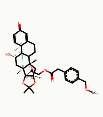 CC1(C)O[C@@H]2C[C@H]3C4CCC5=CC(=O)C=C[C@]5(C)[C@@]4(F)[C@@H](O)C[C@]3(C)[C@]2(C(=O)COC(=O)Cc2ccc(CO[N+](=O)[O-])cc2)O1